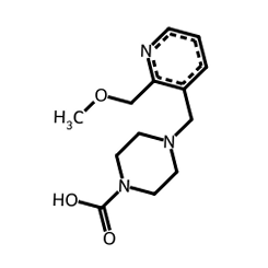 COCc1ncccc1CN1CCN(C(=O)O)CC1